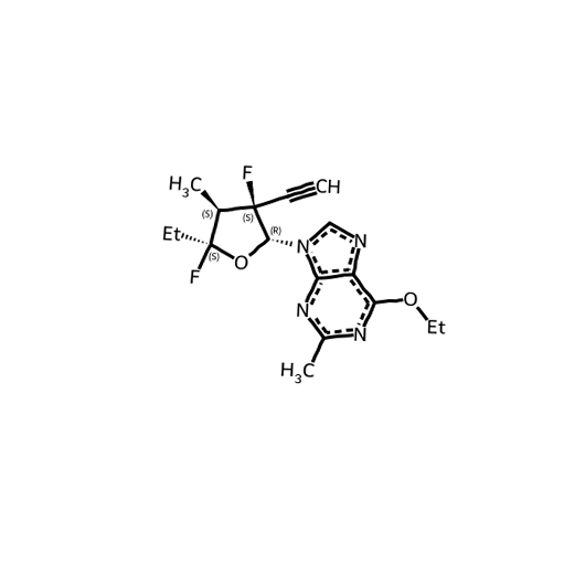 C#C[C@]1(F)[C@H](n2cnc3c(OCC)nc(C)nc32)O[C@](F)(CC)[C@H]1C